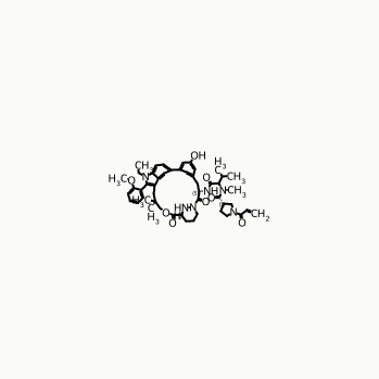 C=CC(=O)N1CC[C@H](C(=O)N(C)C(C(=O)N[C@H]2Cc3cc(O)cc(c3)-c3ccc4c(c3)c(c(-c3ccccc3OC)n4CC)CC(C)(C)COC(=O)[C@@H]3CCCN(N3)C2=O)C(C)C)C1